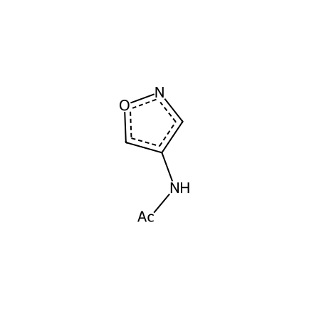 CC(=O)Nc1cnoc1